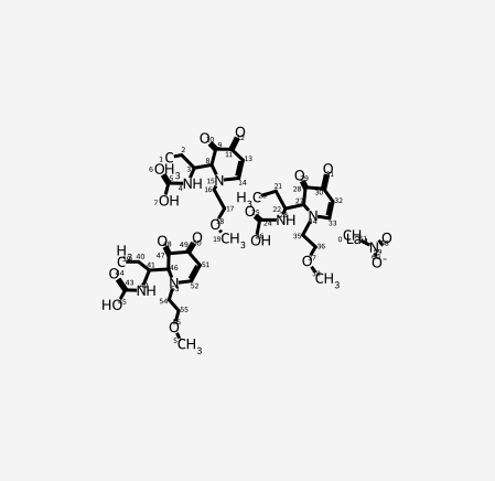 C.CCC(NC(=O)O)C1C(=O)C(=O)C=CN1CCOC.CCC(NC(=O)O)C1C(=O)C(=O)C=CN1CCOC.CCC(NC(=O)O)C1C(=O)C(=O)C=CN1CCOC.O=[N+]([O-])[La]